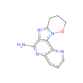 Nc1nc2cccnc2c2c1nc1n2OCCC1